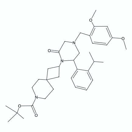 COc1ccc(CN2CC(=O)N(C3CC4(CCN(C(=O)OC(C)(C)C)CC4)C3)C(c3ccccc3C(C)C)C2)c(OC)c1